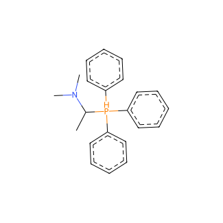 CC(N(C)C)[PH](c1ccccc1)(c1ccccc1)c1ccccc1